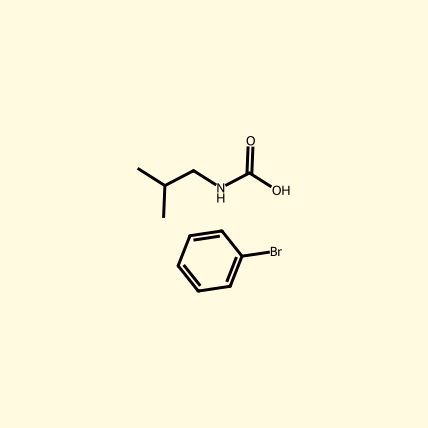 Brc1ccccc1.CC(C)CNC(=O)O